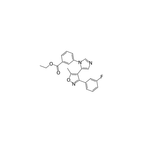 CCOC(=O)c1cccc(-n2cncc2-c2c(-c3cccc(F)c3)noc2C)c1